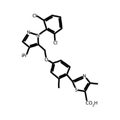 Cc1cc(OCc2c(C(C)C)cnn2-c2c(Cl)cccc2Cl)ccc1-c1nc(C)c(C(=O)O)s1